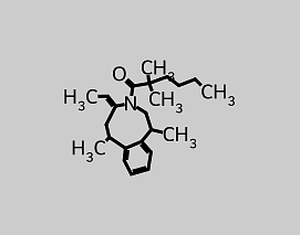 C/C=C1\CC(C)c2ccccc2C(C)CN1C(=O)C(C)(C)CCCC